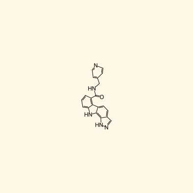 O=C(NCc1ccncc1)c1cccc2[nH]c3c(ccc4cn[nH]c43)c12